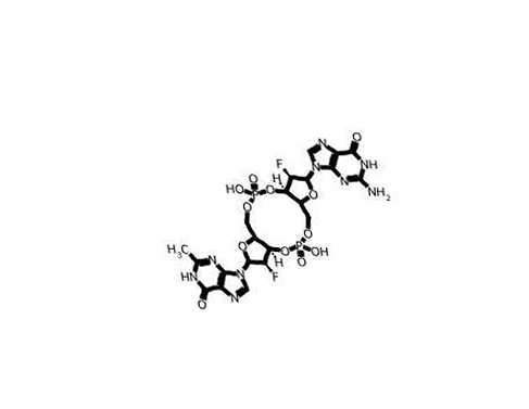 Cc1nc2c(ncn2C2OC3COP(=O)(O)O[C@@H]4C(COP(=O)(O)O[C@H]3[C@H]2F)OC(n2cnc3c(=O)[nH]c(N)nc32)[C@@H]4F)c(=O)[nH]1